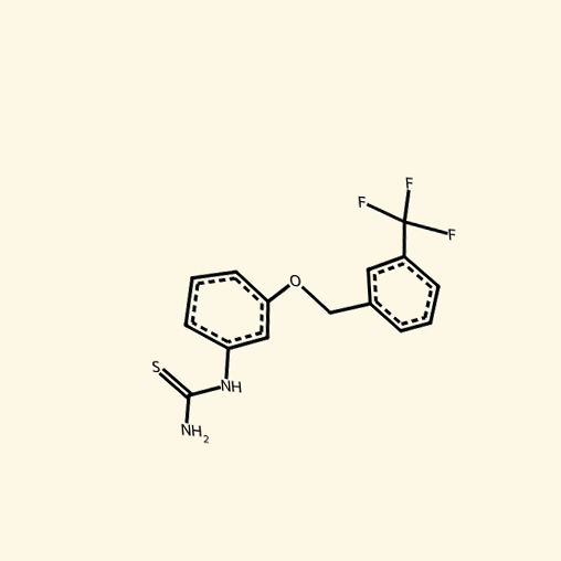 NC(=S)Nc1cccc(OCc2cccc(C(F)(F)F)c2)c1